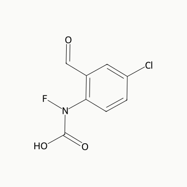 O=Cc1cc(Cl)ccc1N(F)C(=O)O